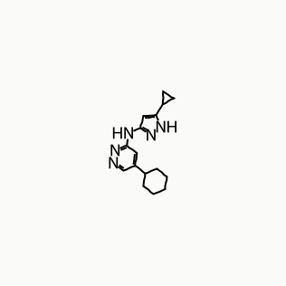 c1nnc(Nc2cc(C3CC3)[nH]n2)cc1C1CCCCC1